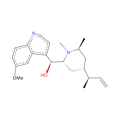 C=C[C@@H](C)[C@@H]1C[C@H]([C@@H](O)c2ccnc3ccc(OC)cc23)N(C)[C@@H](C)C1